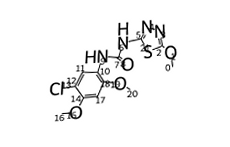 COc1nnc(NC(=O)Nc2cc(Cl)c(OC)cc2OC)s1